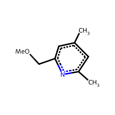 COCc1cc(C)cc(C)n1